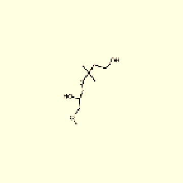 COCC(O)COC(C)(C)CCO